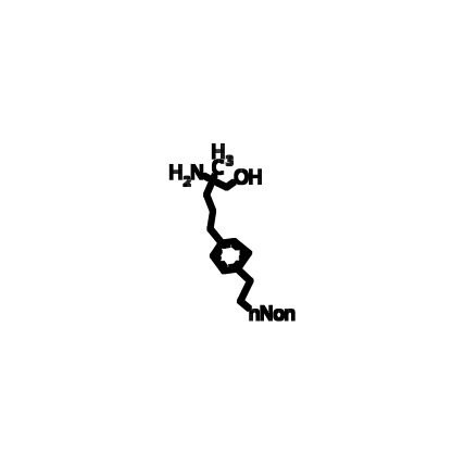 CCCCCCCCCCCc1ccc(CCCC(C)(N)CO)cc1